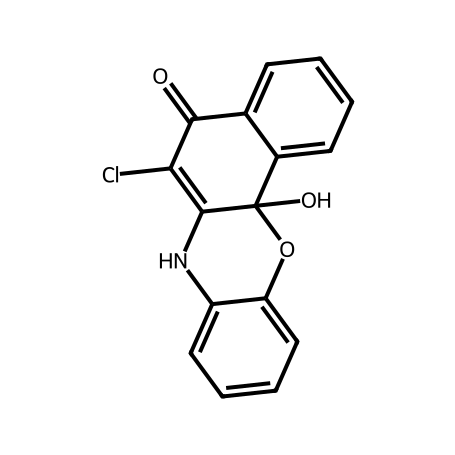 O=C1C(Cl)=C2Nc3ccccc3OC2(O)c2ccccc21